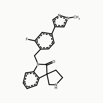 Cn1cc(-c2ccc(CN3C(=O)C4(CCNC4)c4ccccc43)c(F)c2)cn1